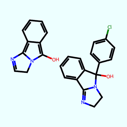 OC1(c2ccc(Cl)cc2)c2ccccc2C2=NCCN21.Oc1c2ccccc2c2n1CC=N2